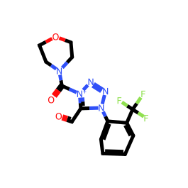 O=Cc1n(-c2ccccc2C(F)(F)F)nn[n+]1C(=O)N1CCOCC1